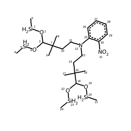 C[SiH2]OC(O[SiH2]C)C(C)(C)CCN(CCC(C)(C)C(O[SiH2]C)O[SiH2]C)c1ccccc1[N+](=O)[O-]